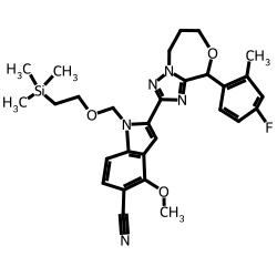 COc1c(C#N)ccc2c1cc(-c1nc3n(n1)CCCOC3c1ccc(F)cc1C)n2COCC[Si](C)(C)C